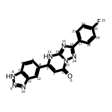 O=c1cc(-c2ccc3[nH]nnc3c2)[nH]c2nc(-c3ccc(F)cc3)nn12